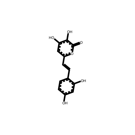 O=c1oc(/C=C/c2ccc(O)cc2O)cc(O)c1O